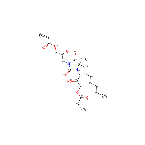 C=CC(=O)OCC(O)CN1C(=O)N(CC(O)COC(=O)C=C)C(C)(CCCCCCC)C1=O